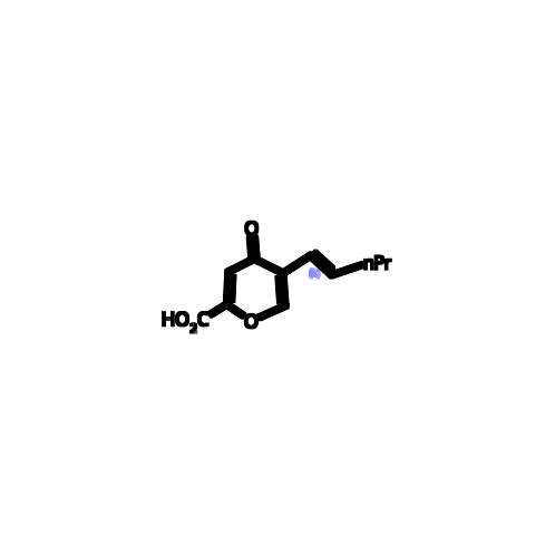 CCC/C=C/c1coc(C(=O)O)cc1=O